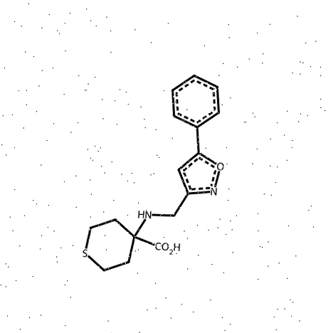 O=C(O)C1(NCc2cc(-c3ccccc3)on2)CCSCC1